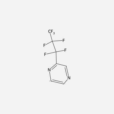 FC(F)(F)C(F)(F)C(F)(F)c1cnc[c]n1